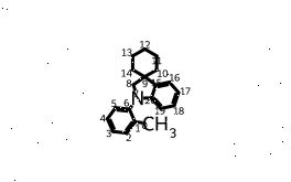 Cc1ccccc1N1CC2(CCCCC2)c2ccccc21